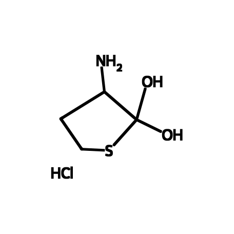 Cl.NC1CCSC1(O)O